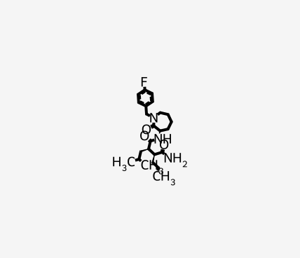 CCC[C@H](C(N)=O)[C@@H](CC(C)C)C(=O)N[C@H]1CCCCN(Cc2ccc(F)cc2)C1=O